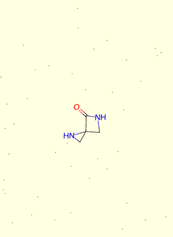 O=C1NCC12CN2